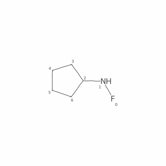 FNC1CCCC1